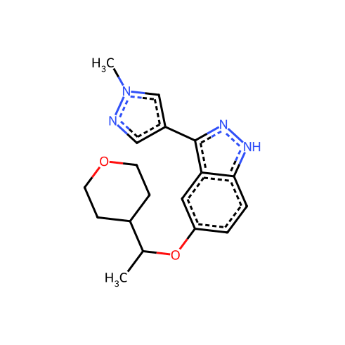 CC(Oc1ccc2[nH]nc(-c3cnn(C)c3)c2c1)C1CCOCC1